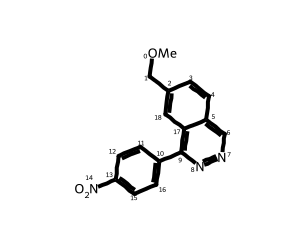 COCc1ccc2cnnc(-c3ccc([N+](=O)[O-])cc3)c2c1